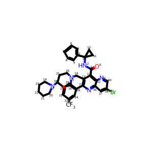 O=C(NC1(c2ccccc2)CC1)c1c(CN2CCC(N3CCCCC3)CC2)c(-c2cccc(C(F)(F)F)c2)nc2cc(Br)cnc12